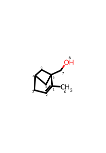 CC1=CCC2CC1(CO)C2